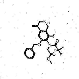 C=C1CNCc2c1cc(OCc1ccccc1)c(N(CC(=O)OC)C(=O)C(F)(F)F)c2F